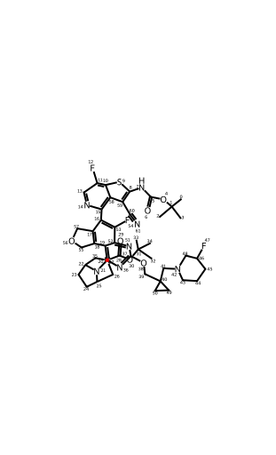 CC(C)(C)OC(=O)Nc1sc2c(F)cnc(-c3c4c(c5c(N6C7CCC6CN(C(=O)OC(C)(C)C)C7)nc(OCC6(CN7CCCC(F)C7)CC6)nc5c3F)COC4)c2c1C#N